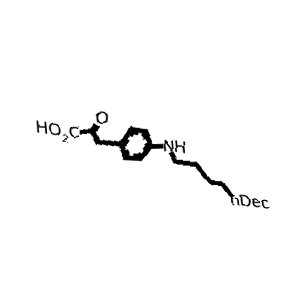 CCCCCCCCCCCCCCNc1ccc(CC(=O)C(=O)O)cc1